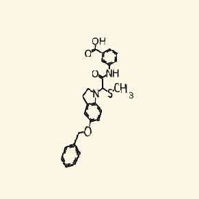 CSC(C(=O)Nc1cccc(C(=O)O)c1)N1CCc2cc(OCc3ccccc3)ccc21